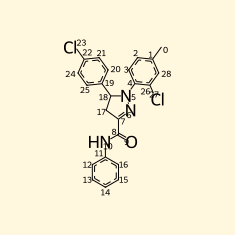 Cc1ccc(N2N=C(C(=O)Nc3ccccc3)CC2c2ccc(Cl)cc2)c(Cl)c1